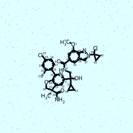 COc1cc(C(=O)NCC(O)(c2cc3c(c(-c4ccc(Cl)cc4F)n2)OC[C@]3(C)C(N)=O)C2CC2)cc2cn(C3(Cl)CC3)nc12